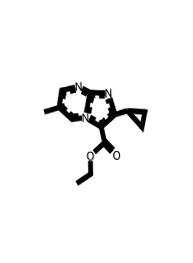 CCOC(=O)c1c(C2CC2)nc2ncc(C)cn12